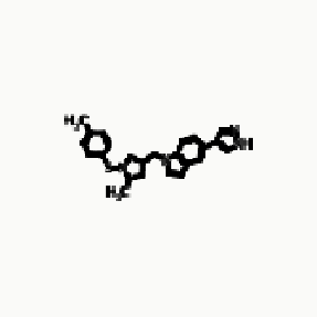 Cc1ccc(SN2CC(Cn3ccc4cc(-c5cn[nH]c5)ccc43)CC2C)cc1